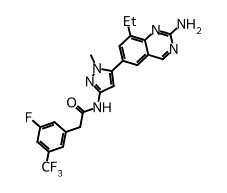 CCc1cc(-c2cc(NC(=O)Cc3cc(F)cc(C(F)(F)F)c3)nn2C)cc2cnc(N)nc12